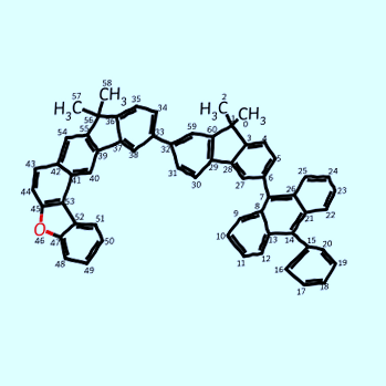 CC1(C)c2ccc(-c3c4ccccc4c(-c4ccccc4)c4ccccc34)cc2-c2ccc(-c3ccc4c(c3)-c3cc5c(ccc6oc7ccccc7c65)cc3C4(C)C)cc21